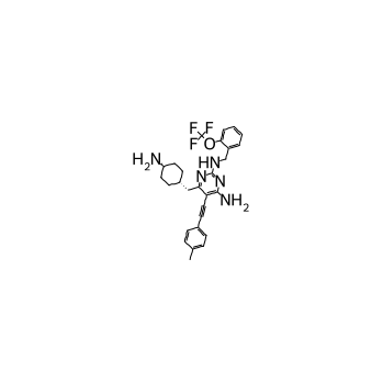 Cc1ccc(C#Cc2c(N)nc(NCc3ccccc3OC(F)(F)F)nc2C[C@H]2CC[C@H](N)CC2)cc1